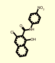 O=C(Nc1ccc([N+](=O)[O-])cc1)c1c(Cl)cc2ccccc2c1O